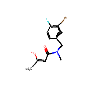 CN(Cc1ccc(F)c(Br)c1)C(=O)C=C(O)C(=O)O